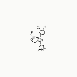 Cc1cc(-c2nc(-c3ccc(Cl)c(Cl)c3)n3c2CCO[C@H](CF)C3)cc(C)n1